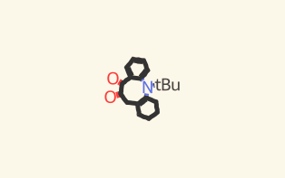 CC(C)(C)N1C2=C(CCCC2)CC(=O)C(=O)c2ccccc21